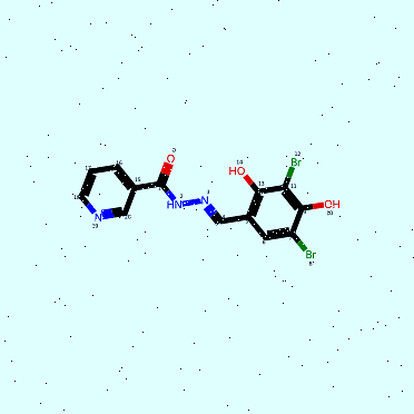 O=C(NN=Cc1cc(Br)c(O)c(Br)c1O)c1cccnc1